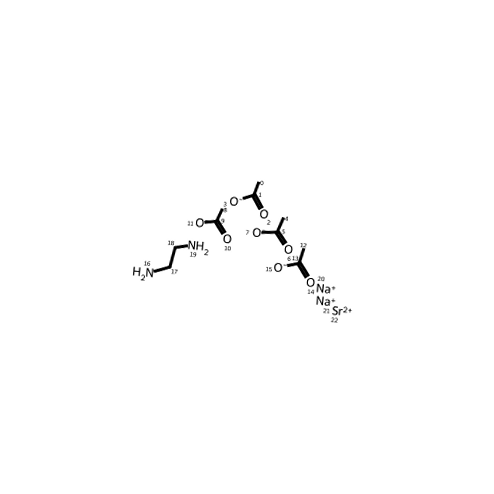 CC(=O)[O-].CC(=O)[O-].CC(=O)[O-].CC(=O)[O-].NCCN.[Na+].[Na+].[Sr+2]